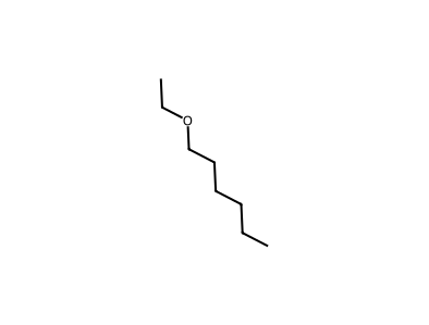 CCCCCCOCC